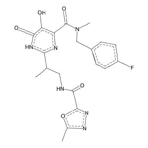 Cc1nnc(C(=O)NCC(C)c2nc(C(=O)N(C)Cc3ccc(F)cc3)c(O)c(=O)[nH]2)o1